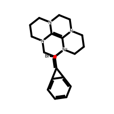 BrC(=C1c2ccccc21)[N+]12CCCN3CCN4CCCN(CC1)C4=C32